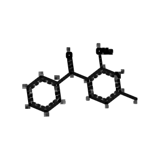 COc1nc(C)ccc1C(=O)c1ccccc1